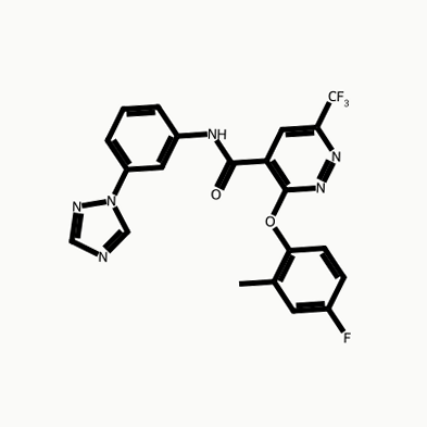 Cc1cc(F)ccc1Oc1nnc(C(F)(F)F)cc1C(=O)Nc1cccc(-n2cncn2)c1